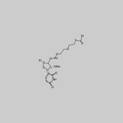 CCC(=O)SCCOCCOPOC1[C@@H](CC)O[C@@H](n2ccc(=O)[nH]c2=O)[C@H]1OC